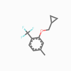 Cc1ccc(C(F)(F)F)c(OCC2CC2)c1